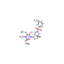 CC(C)C[C@@H](C(=O)NC1CC[C@H]2CN(S(=O)(=O)c3cccc(C(F)(F)F)c3)CC12)N(C)C(=O)OC(C)(C)C